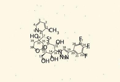 Cc1cccnc1[C@H](S[C@@H]1O[C@H](CO)[C@H](O)[C@H](n2cc(-c3cc(F)c(F)c(F)c3)nn2)[C@H]1O)C1(O)CCOCC1